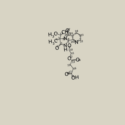 CC(C)C1(C)C(=O)NC2(OCCOC(=O)CCC(=O)O)c3ncccc3C(=O)N21